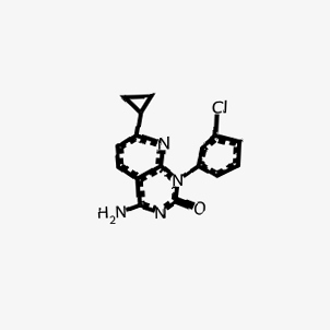 Nc1nc(=O)n(-c2cccc(Cl)c2)c2nc(C3CC3)ccc12